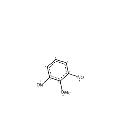 COc1c(N=O)cccc1N=O